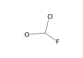 [O]C(F)Cl